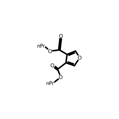 CCCOC(=O)c1cocc1C(=O)OCCC